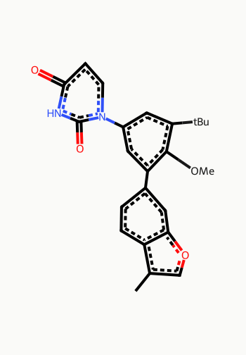 COc1c(-c2ccc3c(C)coc3c2)cc(-n2ccc(=O)[nH]c2=O)cc1C(C)(C)C